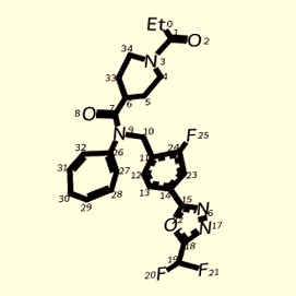 CCC(=O)N1CCC(C(=O)N(Cc2ccc(-c3nnc(C(F)F)o3)cc2F)C2=CC=CCC=C2)CC1